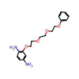 Nc1ccc(N)c(OCCOCCOCCOc2ccccc2)c1